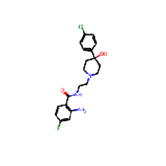 Nc1cc(F)ccc1C(=O)NCCN1CCC(O)(c2ccc(Cl)cc2)CC1